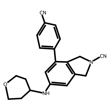 N#Cc1ccc(-c2cc(NC3CCOCC3)cc3c2CN(C#N)C3)cc1